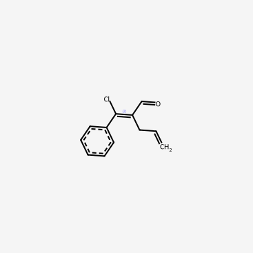 C=CC/C(C=O)=C(/Cl)c1ccccc1